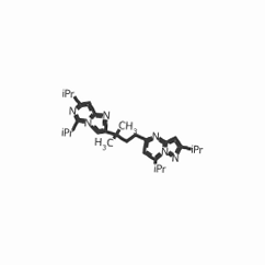 CC(C)c1cc2nc(C(C)(C)CCc3cc(C(C)C)n4nc(C(C)C)cc4n3)cn2c(C(C)C)n1